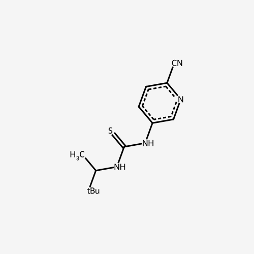 CC(NC(=S)Nc1ccc(C#N)nc1)C(C)(C)C